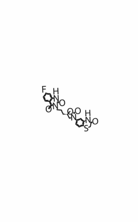 O=C1CSc2ccc(N3C[C@@H](CCCn4c(=O)[nH]c5cc(F)ccc5c4=O)OC3=O)cc2N1